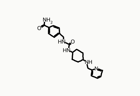 NC(=O)c1ccc(CNC(=O)NC2CCC(NCc3ccccn3)CC2)cc1